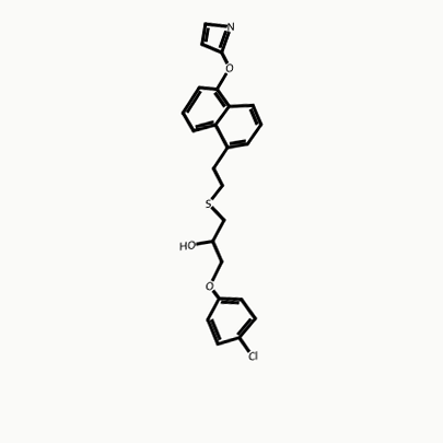 OC(COc1ccc(Cl)cc1)CSCCc1cccc2c(OC3=NC=C3)cccc12